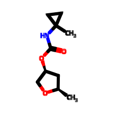 C[C@@H]1C[C@H](OC(=O)NC2(C)CC2)CO1